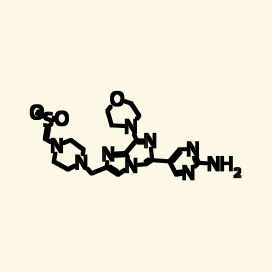 Nc1ncc(-c2cn3cc(CN4CCN(C=S(=O)=O)CC4)nc3c(N3CCOCC3)n2)cn1